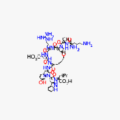 CC(C)C[C@H](NC(=O)[C@H](Cc1c[nH]c2ccccc12)NC(=O)[C@H](Cc1ccc(O)cc1)NC(=O)[C@@H]1CC=CCCO[C@@H]2C[C@@H](C(=O)N[C@@H](CCCNC(=N)N)C(=O)N[C@@H](CCC(=O)O)C(=O)N1)N(C(=O)[C@H](C)NC(=O)[C@@H](N)CCCCN)C2)C(=O)O